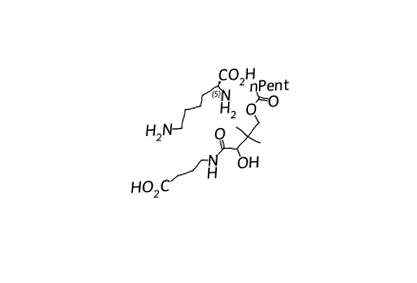 CCCCCC(=O)OCC(C)(C)C(O)C(=O)NCCCC(=O)O.NCCCC[C@H](N)C(=O)O